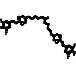 CC(CCCCCC1COC(CCc2cc(F)c(F)c(F)c2)OC1)CCCCCC1COC(CCc2cc(F)c(F)c(F)c2)OC1